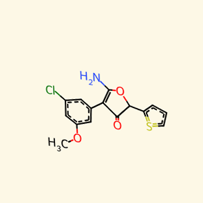 COc1cc(Cl)cc(C2=C(N)OC(c3cccs3)C2=O)c1